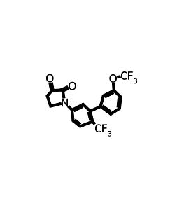 O=C1CCN(c2ccc(C(F)(F)F)c(-c3cccc(OC(F)(F)F)c3)c2)C1=O